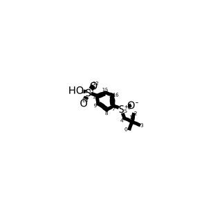 CC(C)(C)C[S+]([O-])c1ccc(S(=O)(=O)O)cc1